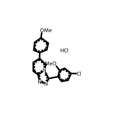 COc1ccc(-c2ccc3nnc(-c4ccc(Cl)cc4OC)n3c2)cc1.Cl